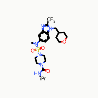 CC(C)NC(=O)N1CCN(S(=O)(=O)N(C)c2ccc3c(c2)nc(C(F)(F)F)n3CC2CCOCC2)CC1